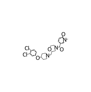 Cn1cc(C(=O)N2CCOC(CN3CCC(Oc4ccc(Cl)c(Cl)c4)CC3)C2)ccc1=O